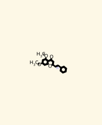 COc1cc(OC)c2c(=O)cc(/C=C/c3ccccc3)oc2c1